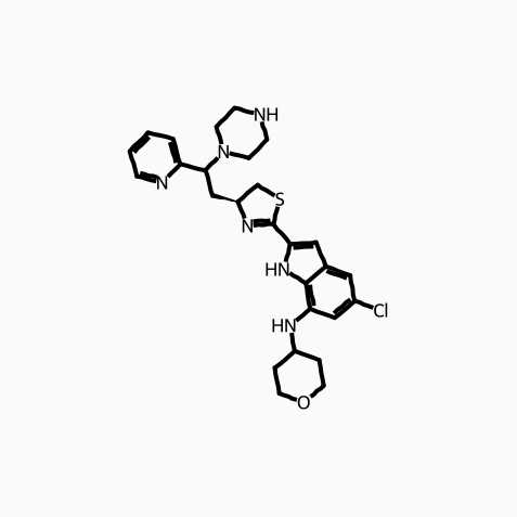 Clc1cc(NC2CCOCC2)c2[nH]c(C3=N[C@@H](CC(c4ccccn4)N4CCNCC4)CS3)cc2c1